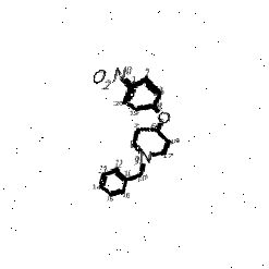 O=[N+]([O-])c1ccc(OC2CCN(Cc3ccccc3)CC2)cc1